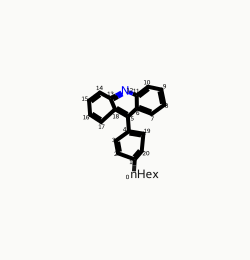 CCCCCCc1ccc(-c2c3ccccc3nc3ccccc23)cc1